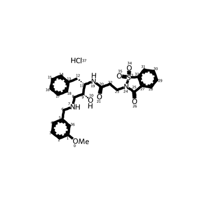 COc1cccc(CNC[C@@H](O)[C@H](Cc2ccccc2)NC(=O)CCN2C(=O)c3ccccc3S2(=O)=O)c1.Cl